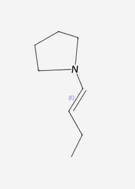 CC/C=C/N1CCCC1